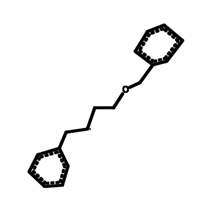 [CH](CCOCc1ccccc1)Cc1ccccc1